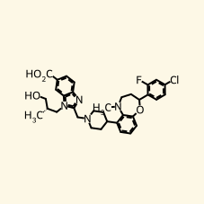 C[C@H](CO)Cn1c(CN2CCC(c3cccc4c3N(C)CCC(c3ccc(Cl)cc3F)O4)CC2)nc2ccc(C(=O)O)cc21